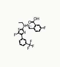 CCN(/N=C/c1ccc(F)cc1C(=O)O)c1nc(-c2cccc(C(F)(F)F)c2)c(F)s1